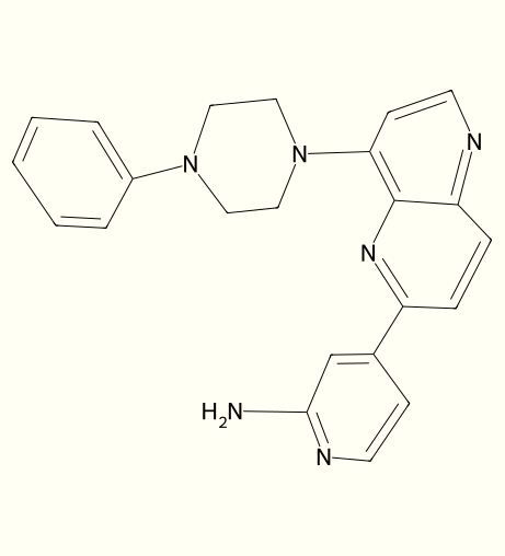 Nc1cc(-c2ccc3nccc(N4CCN(c5ccccc5)CC4)c3n2)ccn1